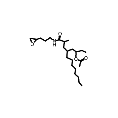 CCCCCCCCC(CC(CC)OC(C)=O)CC(C)C(=O)NCCCC1CO1